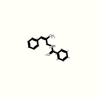 CC(=Cc1ccccc1)CNC(=O)c1ccccc1